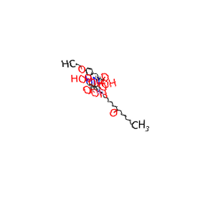 C#CCOc1ccc(C[C@H](NC(=O)[C@@H](/C=C/CCCCCCC(=O)CCCCCCC)[C@@](O)(CC(=O)O)C(=O)O)C(=O)O)cc1